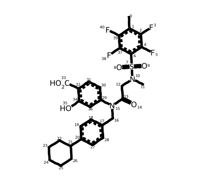 Cc1c(F)c(F)c(S(=O)(=O)N(C)CC(=O)N(Cc2ccc(C3CCCCC3)cc2)c2ccc(C(=O)O)c(O)c2)c(F)c1F